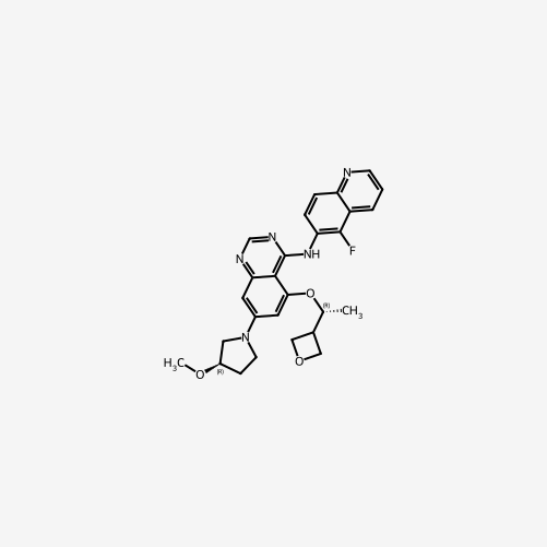 CO[C@@H]1CCN(c2cc(O[C@H](C)C3COC3)c3c(Nc4ccc5ncccc5c4F)ncnc3c2)C1